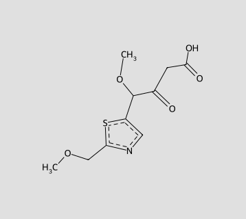 COCc1ncc(C(OC)C(=O)CC(=O)O)s1